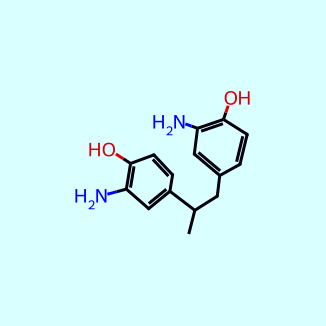 CC(Cc1ccc(O)c(N)c1)c1ccc(O)c(N)c1